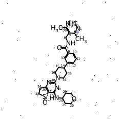 C/N=C(/C)C(CNC(=O)c1cccc(C2CCN(c3nc4c(c(NC5CCOCC5)n3)[S+]([O-])CC4)CC2)c1)=C(C)C